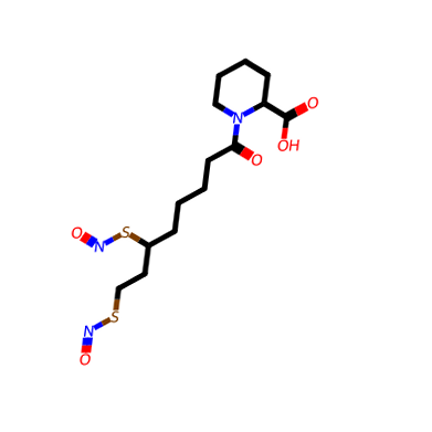 O=NSCCC(CCCCC(=O)N1CCCCC1C(=O)O)SN=O